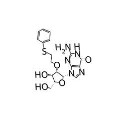 Nc1nc2c(ncn2[C@@H]2O[C@H](CO)[C@@H](O)[C@H]2OCCSc2ccccc2)c(=O)[nH]1